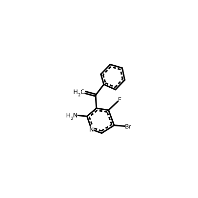 C=C(c1ccccc1)c1c(N)ncc(Br)c1F